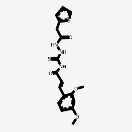 COc1ccc(/C=C/C(=O)NC(=S)NNC(=O)Cc2cccs2)c(OC)c1